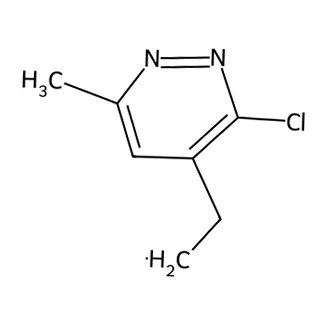 [CH2]Cc1cc(C)nnc1Cl